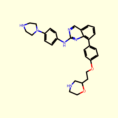 c1cc(-c2ccc(OCCC3CNCCO3)cc2)c2nc(Nc3ccc(N4CCNCC4)cc3)ncc2c1